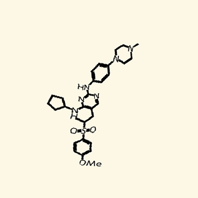 COc1ccc(S(=O)(=O)C(C)Cc2cnc(Nc3ccc(N4CCN(C)CC4)cc3)nc2NC2CCCC2)cc1